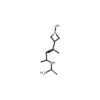 CCCN1CC(/C(C)=C/C(C)NC(C)N)C1